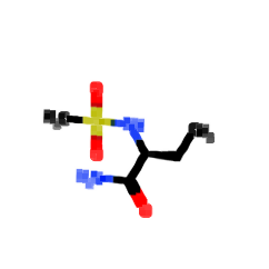 CC[C@H](NS(C)(=O)=O)C(N)=O